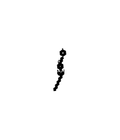 CCCCCCCCCc1cnc(-c2ccc(OCCC[C@H]3CC[C@H](C)CC3)cc2)nc1